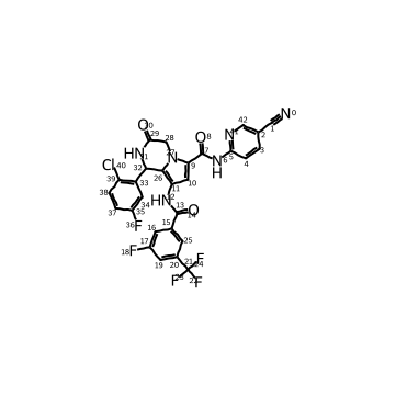 N#Cc1ccc(NC(=O)c2cc(NC(=O)c3cc(F)cc(C(F)(F)F)c3)c3n2CC(=O)NC3c2cc(F)ccc2Cl)nc1